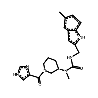 Cc1ccc2[nH]c(CNC(=O)N(C)[C@@H]3CCCN(C(=O)c4c[nH]cn4)C3)cc2c1